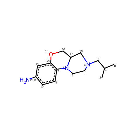 CC(C)CN1CCN2c3ccc(N)cc3OCC2C1